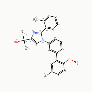 CCOc1ccc(C(F)(F)F)cc1-c1cccc(-n2cc(C(C)(C)O)nc2-c2ccccc2C(F)(F)F)c1